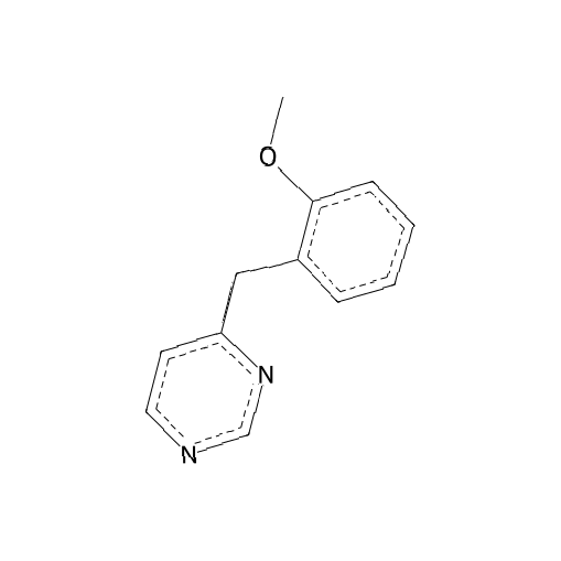 COc1ccccc1Cc1ccncn1